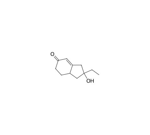 CCC1(O)CC2=CC(=O)CCC2C1